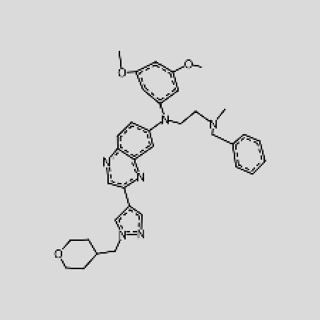 COc1cc(OC)cc(N(CCN(C)Cc2ccccc2)c2ccc3ncc(-c4cnn(CC5CCOCC5)c4)nc3c2)c1